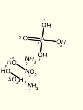 N.N.O=P(O)(O)O.O=S(=O)(O)O.O=[N+]([O-])O